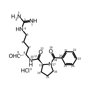 Cl.N=C(N)NCCC[C@@H](C=O)NC(=O)[C@@H]1CCCN1C(=O)c1ccccc1